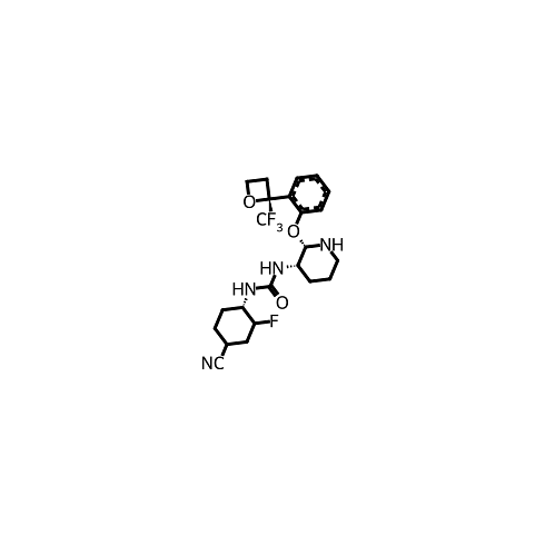 N#CC1CC[C@H](NC(=O)N[C@H]2CCCN[C@H]2Oc2ccccc2[C@@]2(C(F)(F)F)CCO2)C(F)C1